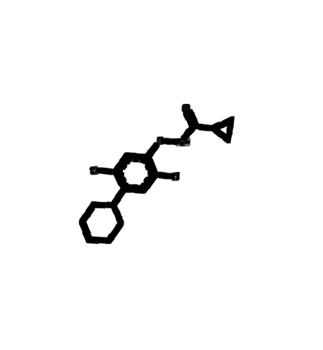 O=C(NSc1cc(Cl)c(C2CCCCC2)cc1Cl)C1CC1